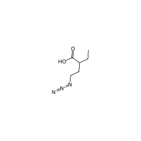 CCC(CCN=[N+]=[N-])C(=O)O